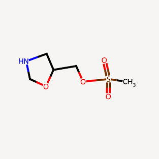 CS(=O)(=O)OCC1CNCO1